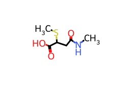 CNC(=O)CC(SC)C(=O)O